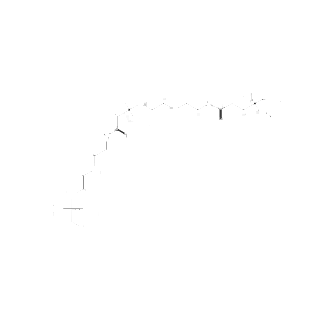 CC(=O)CC(C)(C)OCCOCCNC(=O)CC(C)(C)OCCOCCNC(=O)CCC(C)(C)C#N